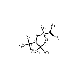 C=C(C)[Si](C)(C)CN(C(C)(C)C)C(C)(C)C